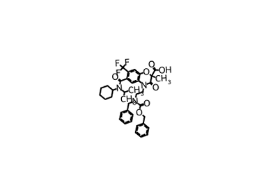 CC(C)N(C(=O)c1cc2c(cc1C(F)(F)F)OC(C)(C(=O)O)C(=O)N2CCN(Cc1ccccc1)C(=O)OCc1ccccc1)C1CCCCC1